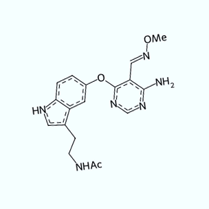 CON=Cc1c(N)ncnc1Oc1ccc2[nH]cc(CCNC(C)=O)c2c1